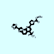 CC(C)(C)OC(=O)N1CCC(c2cc(C(F)(F)C(F)(F)F)c3ccc4nc(-c5nnco5)cn4c3n2)C1